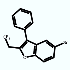 FC(F)(F)Cc1oc2ccc(Br)cc2c1-c1ccccc1